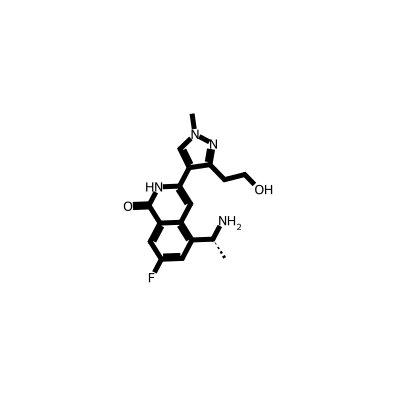 C[C@@H](N)c1cc(F)cc2c(=O)[nH]c(-c3cn(C)nc3CCO)cc12